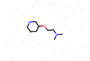 CN(C)CCOC1CCC[N]C1